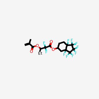 C=C(C)C(=O)OC(CC)C(F)(F)C(=O)OC1CCC2(F)C(F)(F)C(F)(F)C(F)(F)C2(F)C1